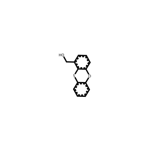 OCc1cccc2c1Sc1ccccc1O2